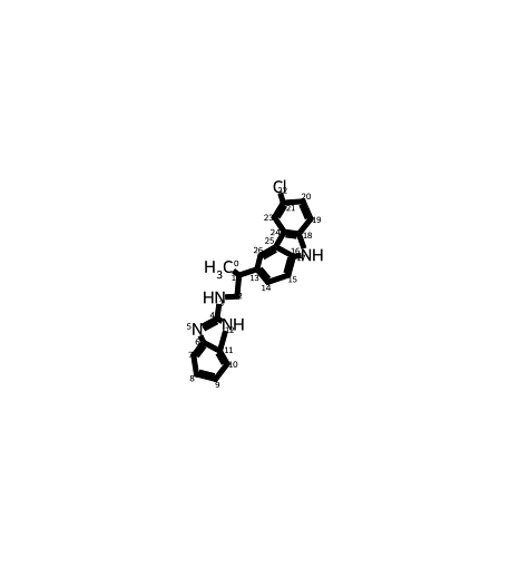 CC(CNc1nc2ccccc2[nH]1)c1ccc2[nH]c3ccc(Cl)cc3c2c1